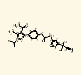 CC(C)n1nc(-c2ccc(CC(=O)Nc3cc(C(C)(C)C#N)no3)cc2)c(C(N)=O)c1N